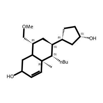 CCCC[C@H]1[C@H]([C@@H]2CC[C@H](O)C2)C[C@@H](COC)C2CC(O)C=C[C@@]21C